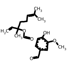 C=CC(C)(CCC=C(C)C)OC=O.COc1cc(C=O)ccc1O